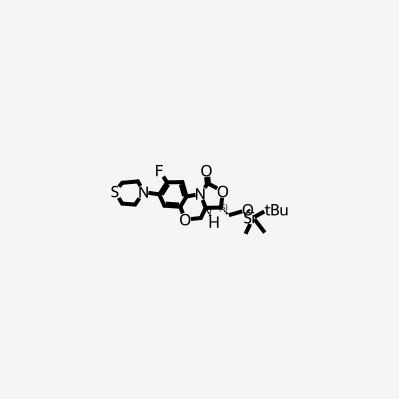 CC(C)(C)[Si](C)(C)OC[C@H]1OC(=O)N2c3cc(F)c(N4CCSCC4)cc3OC[C@H]12